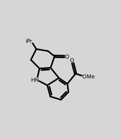 COC(=O)c1cccc2[nH]c3c(c12)C(=O)CC(C(C)C)C3